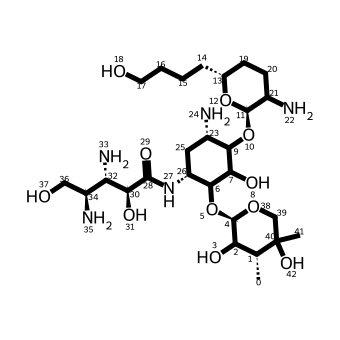 C[C@@H]1C(O)[C@@H](OC2C(O)C(O[C@H]3O[C@H](CCCCO)CCC3N)[C@@H](N)C[C@H]2NC(=O)[C@@H](O)[C@@H](N)[C@@H](N)CO)OCC1(C)O